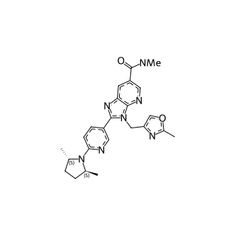 CNC(=O)c1cnc2c(c1)nc(-c1ccc(N3[C@@H](C)CC[C@@H]3C)nc1)n2Cc1coc(C)n1